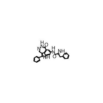 N[C@H](Cc1ccccc1)C(=O)Nc1cc2c3c(c(-c4ccccc4)[nH]c3c1)C=NNC2=O